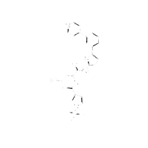 CS(=O)(=O)n1ccc(C(=O)NC(CCO)C(=O)Nc2nc(-c3cccc(-c4ccncc4)c3)cs2)c1